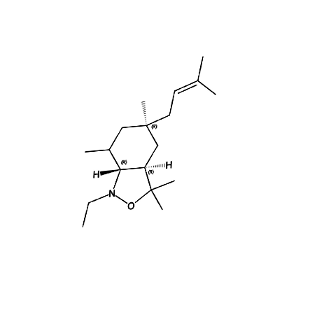 CCN1OC(C)(C)[C@@H]2C[C@](C)(CC=C(C)C)CC(C)[C@H]21